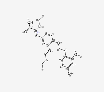 CCCCOc1cc(/C=C(\OCC)C(=O)O)ccc1OCCc1ccc(O)cc1OC